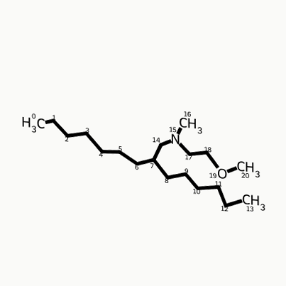 CCCCCCCC(CCCCCC)CN(C)CCOC